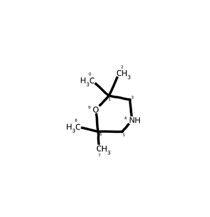 CC1(C)CNCC(C)(C)O1